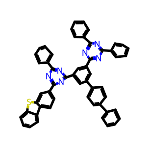 c1ccc(-c2ccc(-c3cc(-c4nc(-c5ccccc5)nc(-c5ccccc5)n4)cc(-c4nc(-c5ccccc5)nc(-c5ccc6c(c5)sc5ccccc56)n4)c3)cc2)cc1